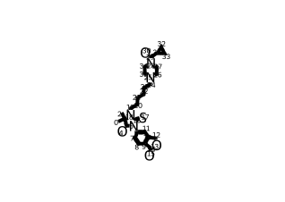 CC1(C)C(=O)N(c2ccc3c(c2)COC3=O)C(=S)N1CCCCCCN1CCN(C(=O)C2CC2)CC1